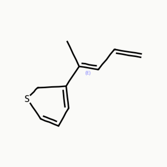 C=C/C=C(\C)C1=CC=CSC1